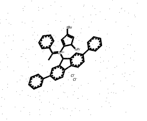 CCCC1C=C(C(C)(C)C)C=[C]1/[Zr+2](=[C](/C)c1ccccc1)[CH]1c2cc(-c3ccccc3)ccc2-c2ccc(-c3ccccc3)cc21.[Cl-].[Cl-]